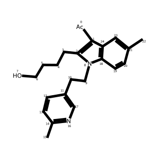 CC(=O)c1c(CCCCO)n(CCc2ccc(C)nc2)c2ccc(C)cc12